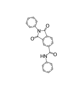 O=C(Nc1ccccc1)c1ccc2c(c1)C(=O)N(c1ccccc1)C2=O